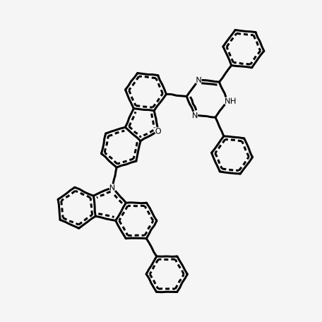 c1ccc(C2=NC(c3cccc4c3oc3cc(-n5c6ccccc6c6cc(-c7ccccc7)ccc65)ccc34)=NC(c3ccccc3)N2)cc1